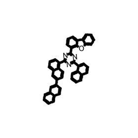 c1ccc2cc(-c3ccc4c(-c5nc(-c6cccc7ccccc67)nc(-c6cccc7c6oc6ccccc67)n5)cccc4c3)ccc2c1